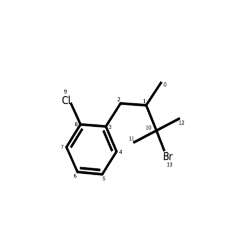 CC(Cc1ccccc1Cl)C(C)(C)Br